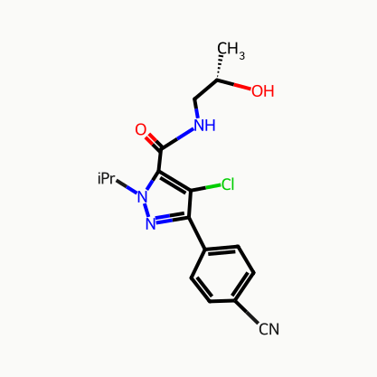 CC(C)n1nc(-c2ccc(C#N)cc2)c(Cl)c1C(=O)NC[C@H](C)O